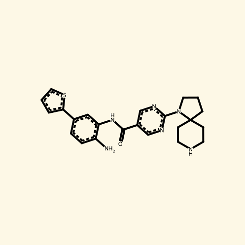 Nc1ccc(-c2cccs2)cc1NC(=O)c1cnc(N2CCCC23CCNCC3)nc1